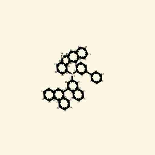 c1ccc(-c2cccc(N(c3cc(-c4cc5ccccc5c5ccccc45)c4ccccc4c3)c3cccc4oc5cc6ccccc6cc5c34)c2)cc1